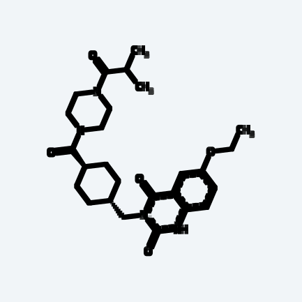 CCOc1ccc2[nH]c(=O)n(C[C@H]3CC[C@H](C(=O)N4CCN(C(=O)C(C)C)CC4)CC3)c(=O)c2c1